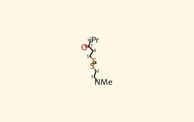 CNCCSSCCC(=O)C(C)C